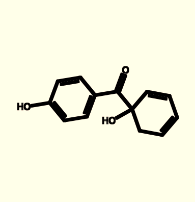 O=C(c1ccc(O)cc1)C1(O)C=CC=CC1